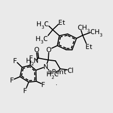 [CH2]C(Cl)CC(Oc1ccc(C(C)(C)CC)cc1C(C)(C)CC)(C(N)=O)N(CCCCC)c1c(F)c(F)c(F)c(F)c1F